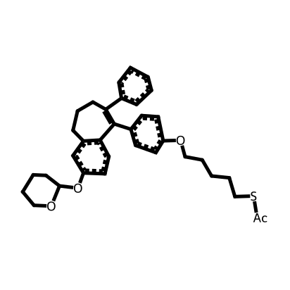 CC(=O)SCCCCCOc1ccc(C2=C(c3ccccc3)CCCc3cc(OC4CCCCO4)ccc32)cc1